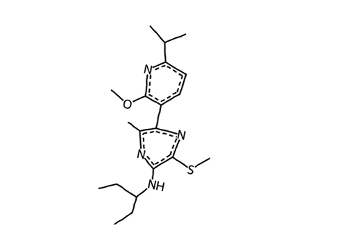 CCC(CC)Nc1nc(C)c(-c2ccc(C(C)C)nc2OC)nc1SC